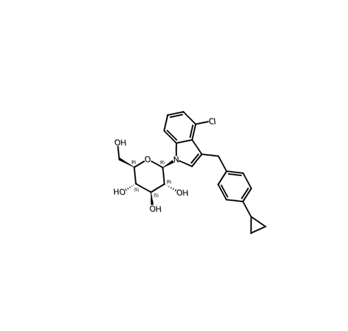 OC[C@H]1O[C@@H](n2cc(Cc3ccc(C4CC4)cc3)c3c(Cl)cccc32)[C@H](O)[C@@H](O)[C@@H]1O